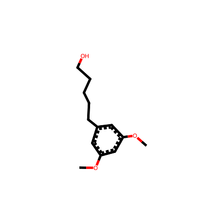 COc1cc(CCCCCO)cc(OC)c1